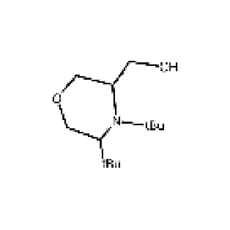 CC(C)(C)C1COCC(CO)N1C(C)(C)C